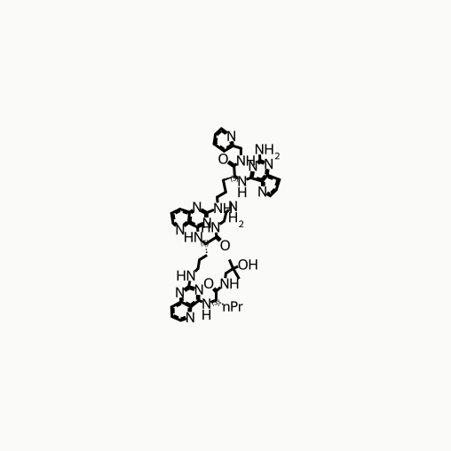 CCC[C@H](Nc1nc(NCCC[C@H](Nc2nc(NCCC[C@H](Nc3nc(N)nc4cccnc34)C(=O)NCc3ccccn3)nc3cccnc23)C(=O)NCCN)nc2cccnc12)C(=O)NCC(C)(C)O